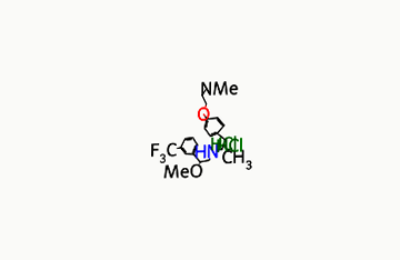 CNCCOc1ccc(CC(C)NCC(OC)c2cccc(C(F)(F)F)c2)cc1.Cl.Cl